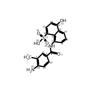 Cc1cc(C(=O)Nc2cccc3c(O)ccc(S(=O)(=O)O)c23)ccc1N